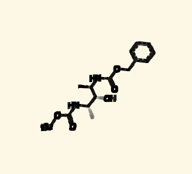 C[C@H](NC(=O)OC(C)(C)C)[C@@H](O)[C@@H](C)NC(=O)OCc1ccccc1